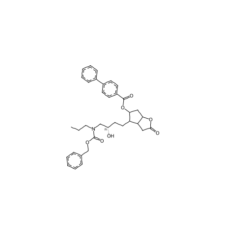 CCCN(C[C@@H](O)CCC1C(OC(=O)c2ccc(-c3ccccc3)cc2)CC2OC(=O)CC21)C(=O)OCc1ccccc1